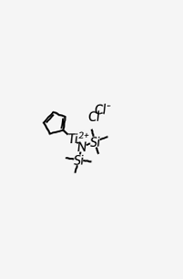 C[Si](C)(C)[N]([Ti+2][C]1=CC=CC1)[Si](C)(C)C.[Cl-].[Cl-]